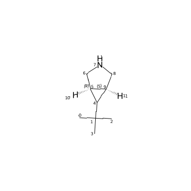 CC(C)(C)C1[C@H]2CNC[C@@H]12